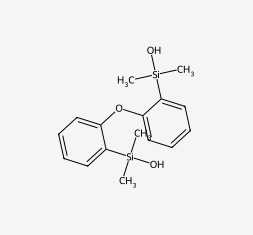 C[Si](C)(O)c1ccccc1Oc1ccccc1[Si](C)(C)O